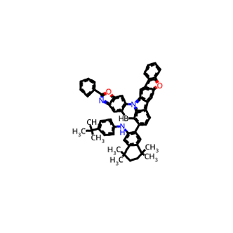 CC(C)(C)c1ccc(Nc2cc3c(cc2-c2ccc4c5cc6oc7ccccc7c6cc5n5c4c2Bc2cc4nc(-c6ccccc6)oc4cc2-5)C(C)(C)CCC3(C)C)cc1